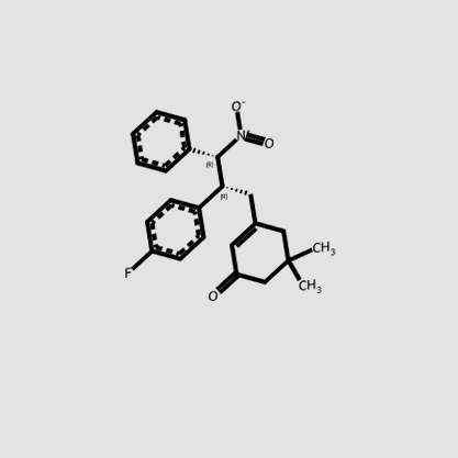 CC1(C)CC(=O)C=C(C[C@H](c2ccc(F)cc2)[C@H](c2ccccc2)[N+](=O)[O-])C1